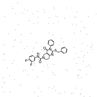 O=C(Nc1ccc(F)c(F)c1)N1CCc2nc(SCc3ccccc3)n(-c3ccccc3)c(=O)c2C1